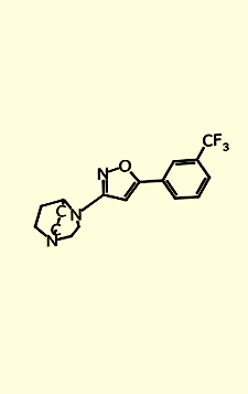 FC(F)(F)c1cccc(-c2cc(N3CCN4CCC3CC4)no2)c1